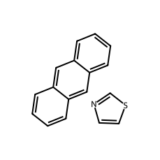 c1ccc2cc3ccccc3cc2c1.c1cscn1